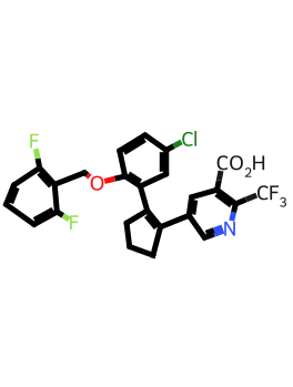 O=C(O)c1cc(C2=C(c3cc(Cl)ccc3OCc3c(F)cccc3F)CCC2)cnc1C(F)(F)F